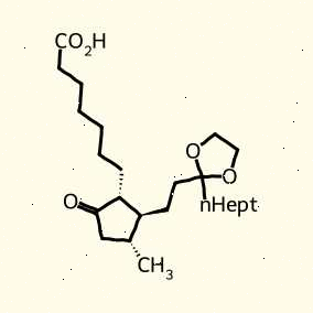 CCCCCCCC1(CC[C@H]2[C@H](C)CC(=O)[C@@H]2CCCCCCC(=O)O)OCCO1